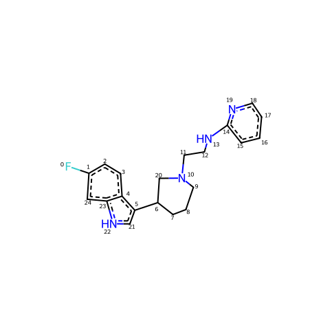 Fc1ccc2c(C3CCCN(CCNc4ccccn4)C3)c[nH]c2c1